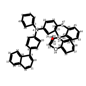 c1ccc(N(c2ccc(-c3cccc4ccccc34)cc2)c2ccc3c(c2)[Si]2(c4ccccc4Oc4ccccc42)c2ccccc2S3)cc1